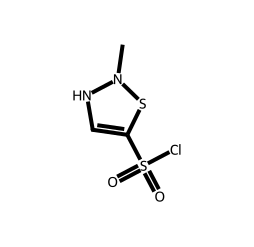 CN1NC=C(S(=O)(=O)Cl)S1